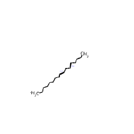 [CH2]CCCCCCC/C=C/C/C=C/CCCC